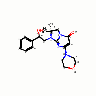 C[C@@]1(C(F)(F)F)Cn2c(nc(N3CCOCC3)cc2=O)N1CC(O)c1ccccc1